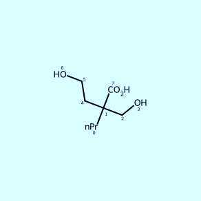 CCCC(CO)(CCO)C(=O)O